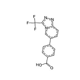 O=C(O)c1ccc(-c2ccc3nnc(C(F)(F)F)n3c2)cc1